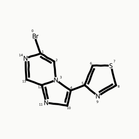 Brc1cn2c(-c3cscn3)cnc2cn1